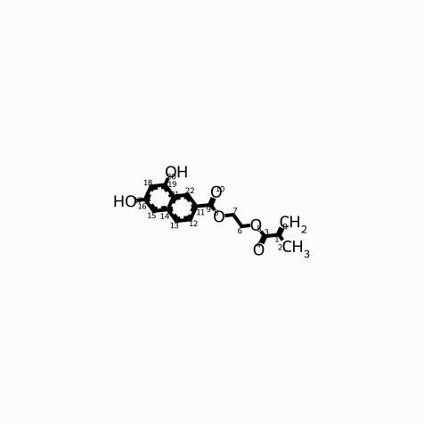 C=C(C)C(=O)OCCOC(=O)c1ccc2cc(O)cc(O)c2c1